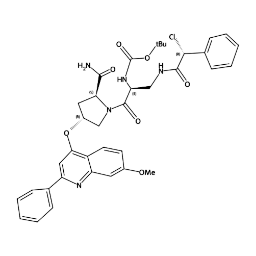 COc1ccc2c(O[C@@H]3C[C@@H](C(N)=O)N(C(=O)[C@H](CNC(=O)[C@H](Cl)c4ccccc4)NC(=O)OC(C)(C)C)C3)cc(-c3ccccc3)nc2c1